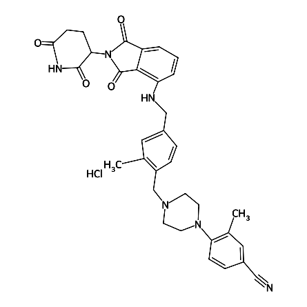 Cc1cc(CNc2cccc3c2C(=O)N(C2CCC(=O)NC2=O)C3=O)ccc1CN1CCN(c2ccc(C#N)cc2C)CC1.Cl